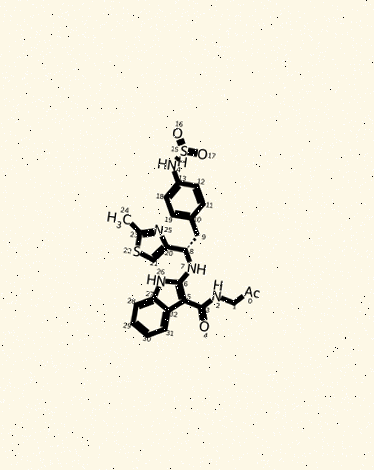 CC(=O)CNC(=O)c1c(N[C@@H](Cc2ccc(N[SH](=O)=O)cc2)c2csc(C)n2)[nH]c2ccccc12